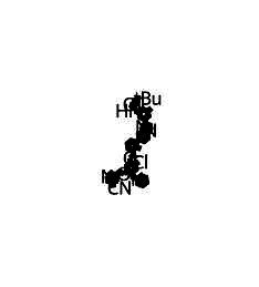 Cc1c(COc2cc(OCc3cncc(C#N)c3)c(CN3CCCCC3)cc2Cl)cccc1-c1ccc2ncc(C3=CC(C)CC(NC(=O)OC(C)(C)C)C3)nc2c1